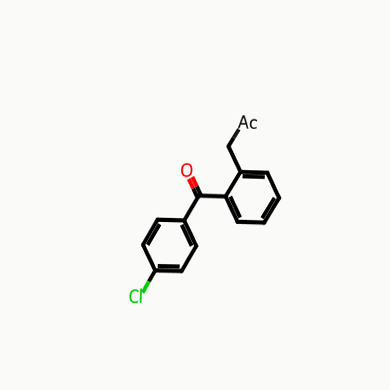 CC(=O)Cc1ccccc1C(=O)c1ccc(Cl)cc1